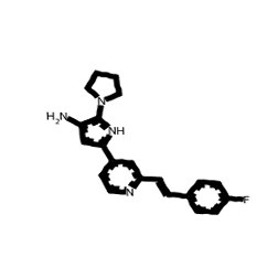 Nc1cc(-c2ccnc(/C=C/c3ccc(F)cc3)c2)[nH]c1N1CCCC1